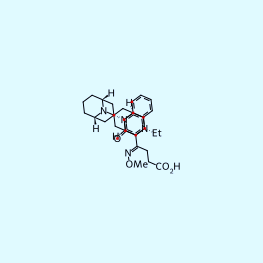 CC[C@@H]1C[C@H]2CC(N3[C@@H]4CCC[C@H]3C[C@@H](n3c(=O)c(/C(CCC(=O)O)=N/OC)nc5ccccc53)C4)C[C@@H](C1)C2